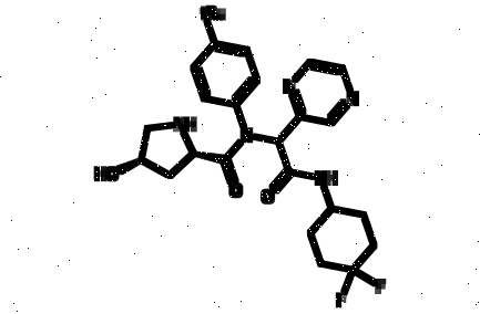 CC(C)(C)c1ccc(N(C(=O)[C@H]2C[C@@H](O)CN2)C(C(=O)NC2CCC(F)(F)CC2)c2cnccn2)cc1